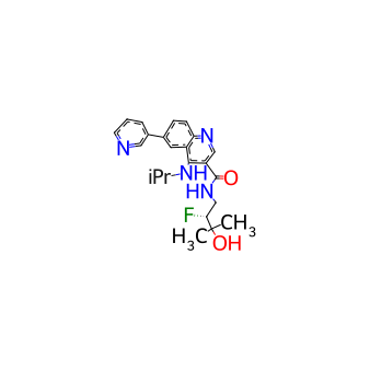 CC(C)Nc1c(C(=O)NC[C@@H](F)C(C)(C)O)cnc2ccc(-c3cccnc3)cc12